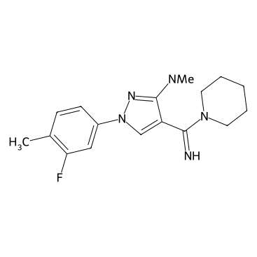 CNc1nn(-c2ccc(C)c(F)c2)cc1C(=N)N1CCCCC1